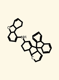 C1=CC2OC3C=CCCC3C2C(NC2C=C3C(CC2)C2CCC=CC2C32c3ccccc3C3C=CC=CC32)=C1